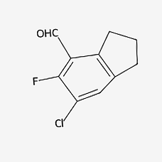 O=Cc1c(F)c(Cl)cc2c1CCC2